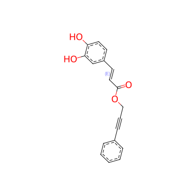 O=C(/C=C/c1ccc(O)c(O)c1)OCC#Cc1ccccc1